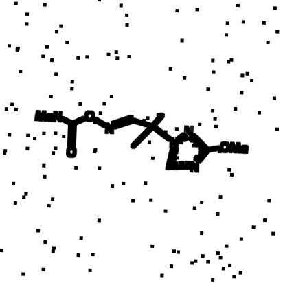 CNC(=O)ON=CC(C)(C)n1cnc(OC)n1